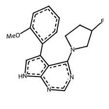 COc1ccccc1-c1c[nH]c2ncnc(N3CCC(F)C3)c12